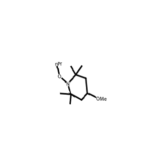 CCCON1C(C)(C)CC(OC)CC1(C)C